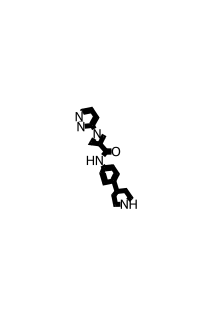 O=C(Nc1ccc(C2CCNCC2)cc1)C1CN(c2cccnn2)C1